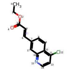 CCOC(=O)/C=C/c1ccc2c(Cl)ccnc2c1